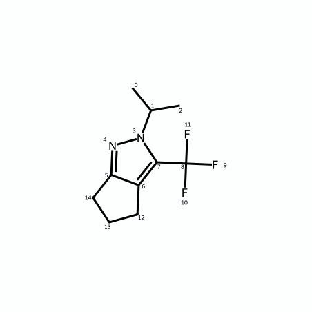 CC(C)n1nc2c(c1C(F)(F)F)CCC2